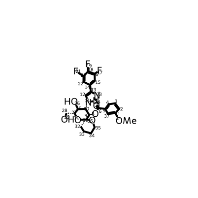 COc1cccc(C(=O)O[C@@H]2[C@@H](n3cc(-c4cc(F)c(F)c(F)c4)nn3)C(O)[C@@H](CO)O[C@@]23CCCCO3)c1